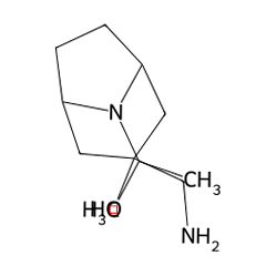 CC(C)N1C2CCC1CC(O)(CN)C2